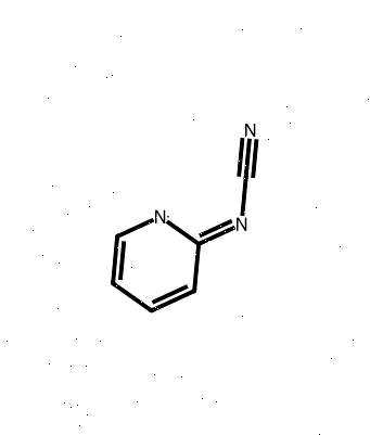 N#C/N=C1/C=CC=C[N]1